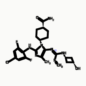 C=N/C(=N\c1c(C)nc(Nc2c(F)cc(Cl)cc2F)n1[C@H]1CC[C@@H](C(N)=O)CC1)N[C@H]1C[C@@H](O)C1